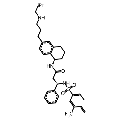 C=C/C(=C\C(=C/C)S(=O)(=O)N[C@H](CC(=O)N[C@@H]1CCCc2cc(CCCNCC(C)C)ccc21)c1ccccc1)C(F)(F)F